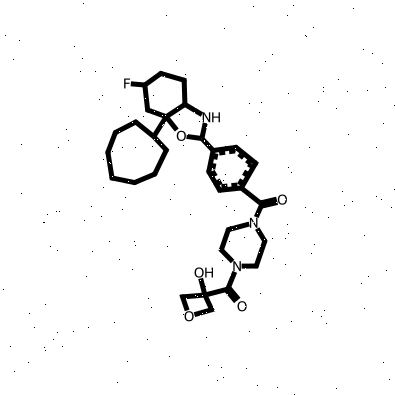 O=C(c1ccc(C2NC3CCC(F)CC3(C3CCCCCCC3)O2)cc1)N1CCN(C(=O)C2(O)COC2)CC1